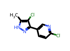 Cc1[nH]nc(-c2ccc(Cl)nc2)c1Cl